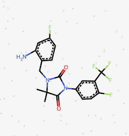 CC1(C)C(=O)N(c2ccc(F)c(C(F)(F)F)c2)C(=O)N1Cc1ccc(F)cc1N